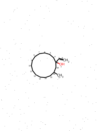 C=CC1(O)CCCCCCCCCCCCC(C)C1